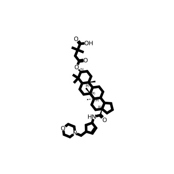 CC(C)(CC(=O)O[C@H]1CC[C@@]2(C)C(CC[C@]3(C)C2CCC2C4CCC[C@]4(C(=O)NC4C=CC(CN5CCOCC5)C4)CC[C@]23C)C1(C)C)C(=O)O